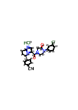 Cl.N#Cc1ccc([C@H]2CCc3ncc(C(=O)N4CCN(c5cccc(Cl)c5)C(=O)C4)n32)cc1